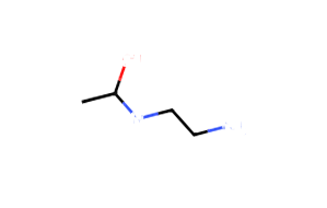 CC(O)[N]CCN